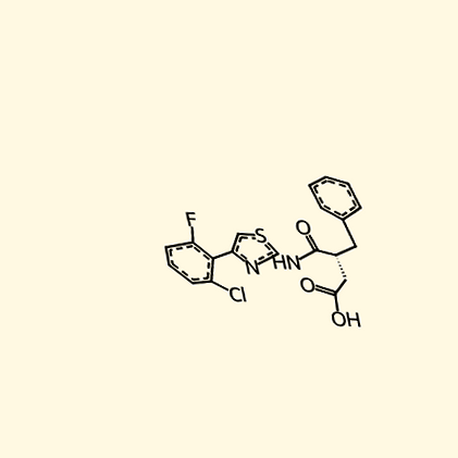 O=C(O)C[C@@H](Cc1ccccc1)C(=O)Nc1nc(-c2c(F)cccc2Cl)cs1